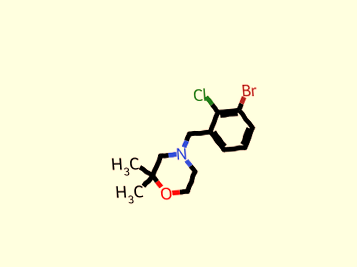 CC1(C)CN(Cc2cccc(Br)c2Cl)CCO1